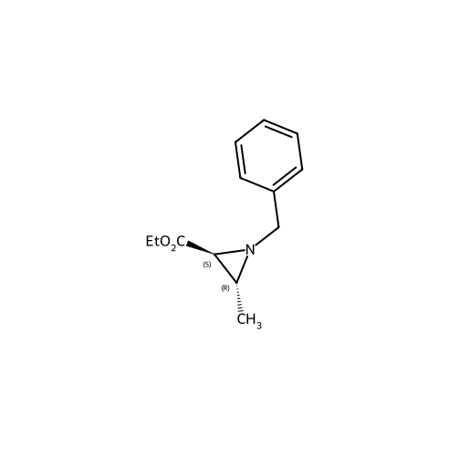 CCOC(=O)[C@@H]1[C@@H](C)N1Cc1ccccc1